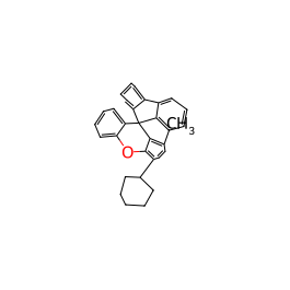 Cc1ccc(C2CCCCC2)c2c1C1(c3ccccc3O2)c2ccccc2-c2ccccc21